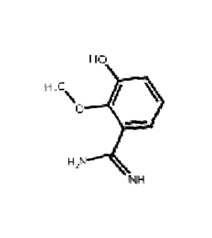 COc1c(O)cccc1C(=N)N